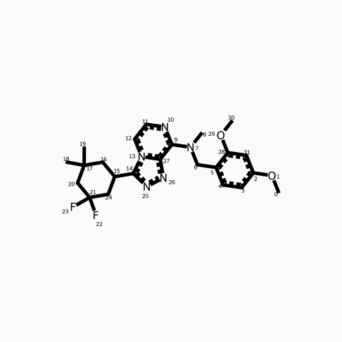 COc1ccc(CN(C)c2nccn3c(C4CC(C)(C)CC(F)(F)C4)nnc23)c(OC)c1